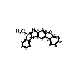 Cn1c2ccccc2n2c3cc4c(cc3nc12)oc1ncccc14